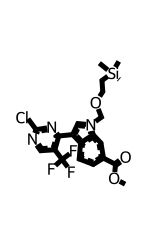 COC(=O)c1ccc2c(-c3nc(Cl)ncc3C(F)(F)F)cn(COCC[Si](C)(C)C)c2c1